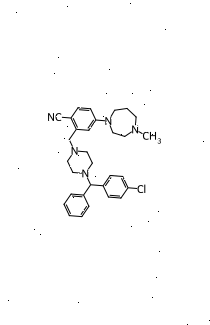 CN1CCCN(c2ccc(C#N)c(CN3CCN(C(c4ccccc4)c4ccc(Cl)cc4)CC3)c2)CC1